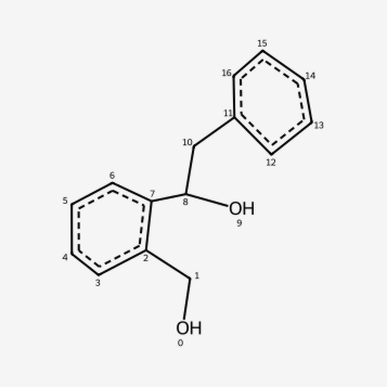 OCc1ccccc1C(O)Cc1ccccc1